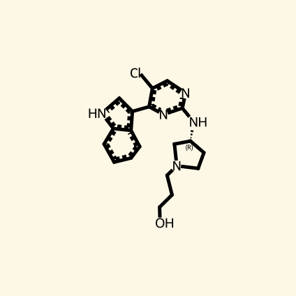 OCCCN1CC[C@@H](Nc2ncc(Cl)c(-c3c[nH]c4ccccc34)n2)C1